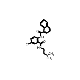 CN(C)CCNC(=O)c1cc(Cl)ccc1NC(=O)c1cccc2ccccc12